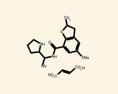 CCCC(NC(=O)c1cc(SC)cc2c1OC(C)C2)C1CCCN1.O=C(O)C=CC(=O)O